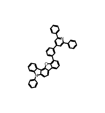 c1ccc(-c2cc(-c3cccc(-c4cccc5c4oc4c5ccc5c4c4ccccc4n5-c4ccccc4)c3)cc(-c3ccccc3)n2)cc1